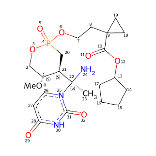 CO[C@@H]1COP(=O)(OCCC2(C(=O)OC3CCCC3)CC2)C[C@H]1[C@@](C)(N)n1ccc(=O)[nH]c1=O